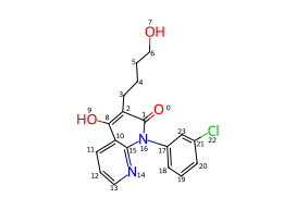 O=c1c(CCCCO)c(O)c2cccnc2n1-c1cccc(Cl)c1